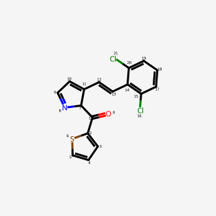 O=C(c1cccs1)C1N=CC=C1/C=C/c1c(Cl)cccc1Cl